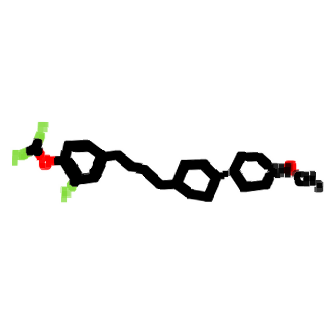 CO[Si@H]1CC[C@H](C2CCC(CCCCc3ccc(OC(F)F)c(F)c3)CC2)CC1